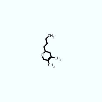 CCCCC1CC(C)=C(C)CO1